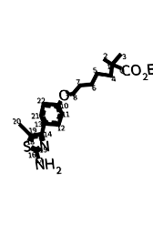 CCOC(=O)C(C)(C)CCCCCOc1ccc(-c2nc(N)sc2C)cc1